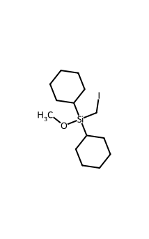 CO[Si](CI)(C1CCCCC1)C1CCCCC1